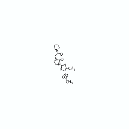 Cc1nc(N2CCN(CC(=O)N3CCCC3)C2=O)sc1C1OC(C)O1